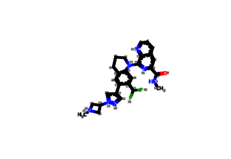 CNC(=O)c1cc2cccnc2c(N2CCCc3cc(-c4cnn(C5CN(C)C5)c4)c(C(F)F)cc32)n1